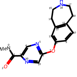 CNC(=O)c1cnc(Oc2ccc3c(c2)CCNCC3)cn1